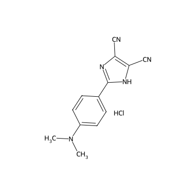 CN(C)c1ccc(-c2nc(C#N)c(C#N)[nH]2)cc1.Cl